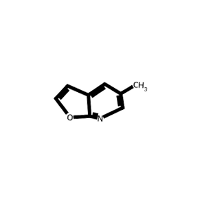 Cc1cnc2occc2c1